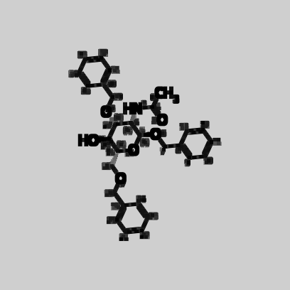 CC(=O)N[C@@H]1[C@@H](OCc2ccccc2)O[C@H](COCc2ccccc2)[C@@H](O)[C@@H]1OCc1ccccc1